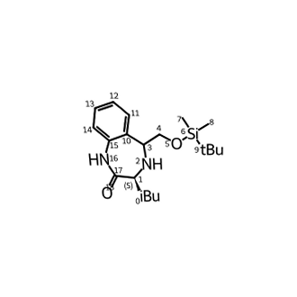 CCC(C)[C@@H]1NC(CO[Si](C)(C)C(C)(C)C)c2ccccc2NC1=O